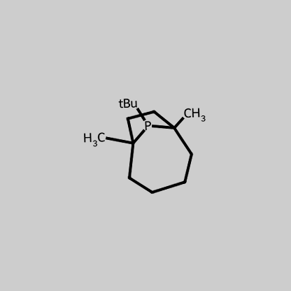 CC(C)(C)P1C2(C)CCCCC1(C)CC2